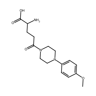 COc1ccc(N2CCN(C(=O)CCC(N)C(=O)O)CC2)cc1